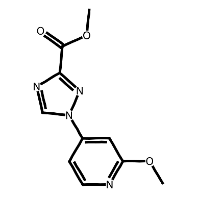 COC(=O)c1ncn(-c2ccnc(OC)c2)n1